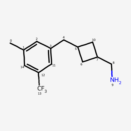 Cc1cc(CC2CC(CN)C2)cc(C(F)(F)F)c1